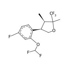 C[C@@H]1[C@H](c2ccc(F)cc2OC(F)F)COC1(C)C(F)(F)F